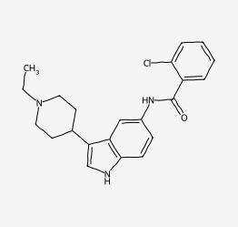 CCN1CCC(c2c[nH]c3ccc(NC(=O)c4ccccc4Cl)cc23)CC1